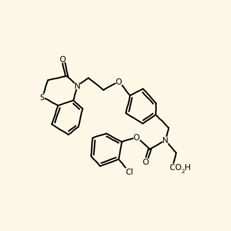 O=C(O)CN(Cc1ccc(OCCN2C(=O)CSc3ccccc32)cc1)C(=O)Oc1ccccc1Cl